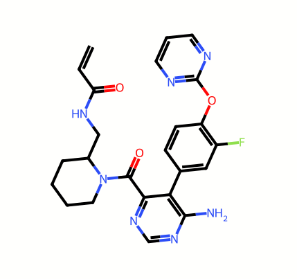 C=CC(=O)NCC1CCCCN1C(=O)c1ncnc(N)c1-c1ccc(Oc2ncccn2)c(F)c1